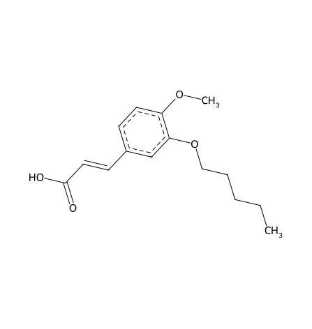 CCCCCOc1cc(/C=C/C(=O)O)ccc1OC